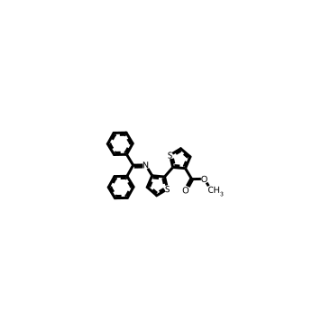 COC(=O)c1ccsc1-c1sccc1N=C(c1ccccc1)c1ccccc1